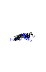 Cc1ccc2c(N)c(C(=O)N[C@H]3CCc4c(C#N)c(N5CCNCC5)cc(F)c4C3)sc2n1